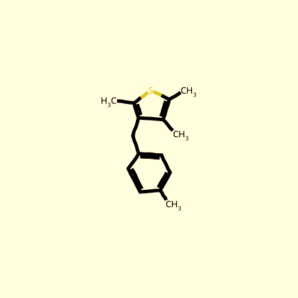 Cc1ccc(Cc2c(C)sc(C)c2C)cc1